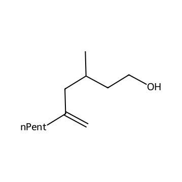 C=C(CCCCC)CC(C)CCO